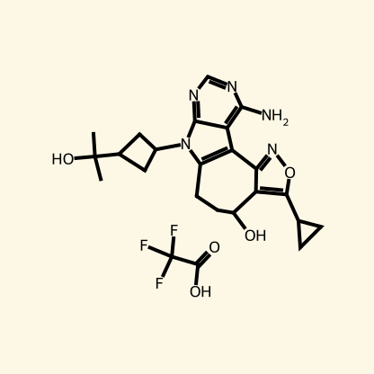 CC(C)(O)C1CC(n2c3c(c4c(N)ncnc42)-c2noc(C4CC4)c2C(O)CC3)C1.O=C(O)C(F)(F)F